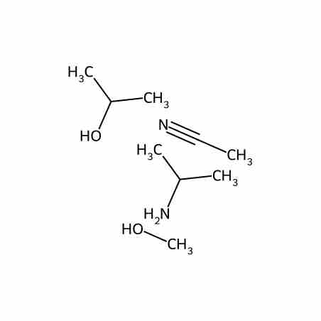 CC#N.CC(C)N.CC(C)O.CO